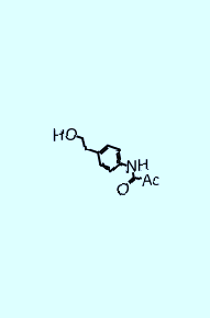 CC(=O)C(=O)Nc1ccc(CCO)cc1